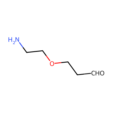 NCCOCCC=O